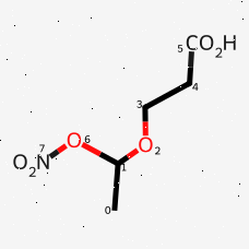 CC(OCCC(=O)O)O[N+](=O)[O-]